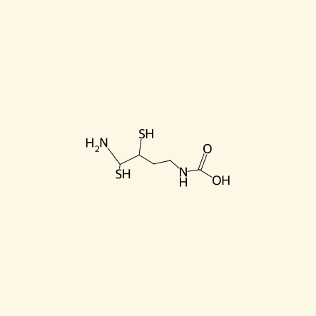 NC(S)C(S)CCNC(=O)O